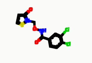 O=C(NOCn1sccc1=O)c1ccc(Cl)c(Cl)c1